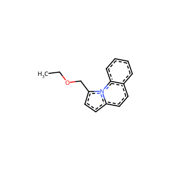 CCOCc1ccc2ccc3ccccc3n12